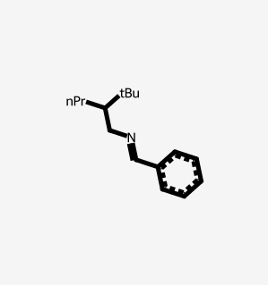 C[CH]CC(CN=Cc1ccccc1)C(C)(C)C